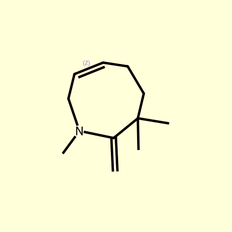 C=C1N(C)C/C=C\CCC1(C)C